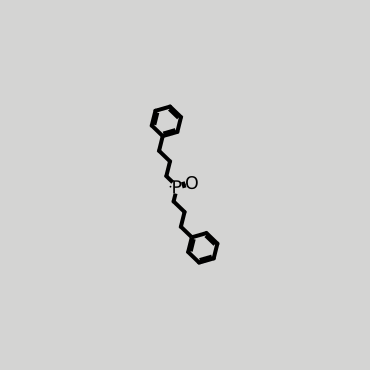 O=[P](CCCc1ccccc1)CCCc1ccccc1